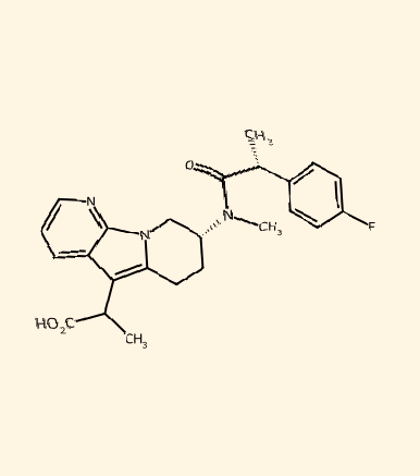 CC(C(=O)O)c1c2n(c3ncccc13)C[C@H](N(C)C(=O)[C@H](C)c1ccc(F)cc1)CC2